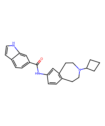 O=C(Nc1ccc2c(c1)CCN(C1CCC1)CC2)c1ccc2cc[nH]c2c1